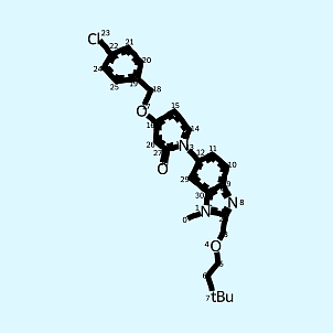 Cn1c(COCCC(C)(C)C)nc2ccc(-n3ccc(OCc4ccc(Cl)cc4)cc3=O)cc21